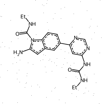 CCNC(=O)Nc1cc(-c2ccc3c(c2)cc(N)n3C(=O)NCC)ncn1